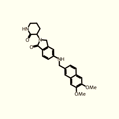 COc1cc2ccc(CNc3ccc4c(c3)CN(C3CCCNC3=O)C4=O)cc2cc1OC